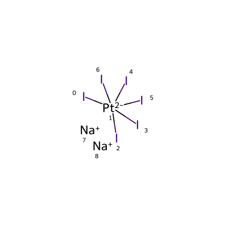 [I][Pt-2]([I])([I])([I])([I])[I].[Na+].[Na+]